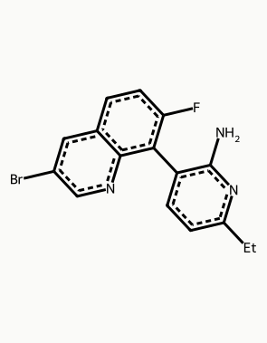 CCc1ccc(-c2c(F)ccc3cc(Br)cnc23)c(N)n1